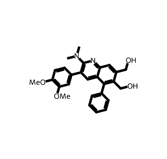 COc1ccc(-c2cc3c(-c4ccccc4)c(CO)c(CO)cc3nc2N(C)C)cc1OC